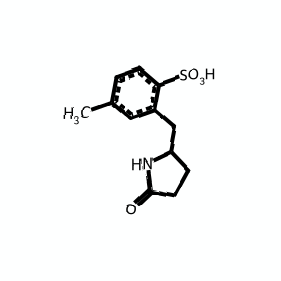 Cc1ccc(S(=O)(=O)O)c(CC2CCC(=O)N2)c1